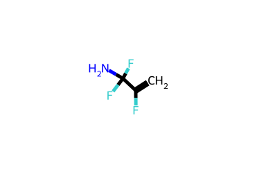 C=C(F)C(N)(F)F